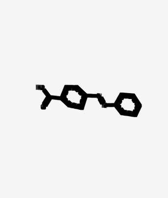 O=C(O)c1ccc(/N=N/c2ccccc2)cc1